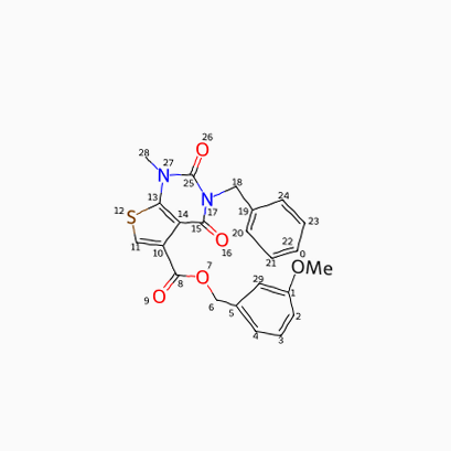 COc1cccc(COC(=O)c2csc3c2c(=O)n(Cc2ccccc2)c(=O)n3C)c1